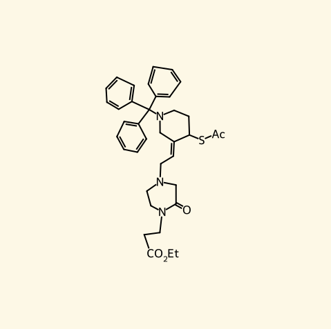 CCOC(=O)CCN1CCN(C/C=C2\CN(C(c3ccccc3)(c3ccccc3)c3ccccc3)CCC2SC(C)=O)CC1=O